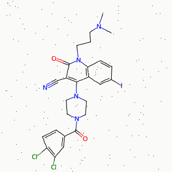 CN(C)CCCn1c(=O)c(C#N)c(N2CCN(C(=O)c3ccc(Cl)c(Cl)c3)CC2)c2cc(I)ccc21